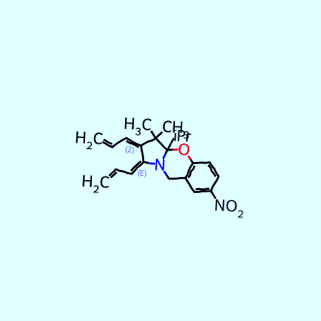 C=C/C=C1\C(=C/C=C)N2Cc3cc([N+](=O)[O-])ccc3OC2(C(C)C)C1(C)C